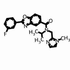 CC(C)N(Cc1nccn1C)C(=O)c1ccc2oc(-c3cccc(F)c3)nc2c1